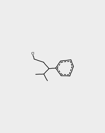 CC(C)C(CCCl)c1ccccc1